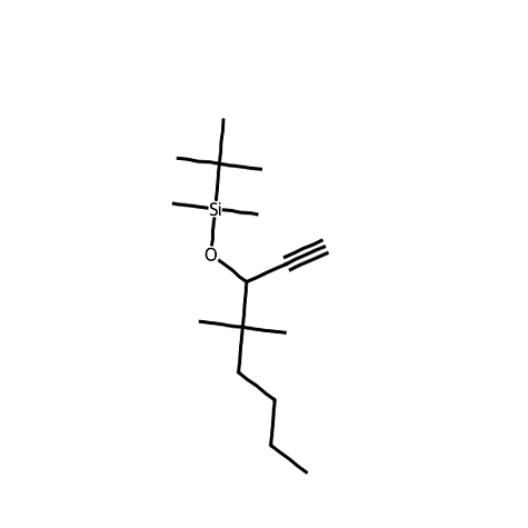 C#CC(O[Si](C)(C)C(C)(C)C)C(C)(C)CCCC